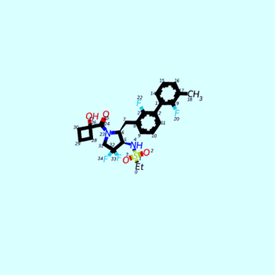 CCS(=O)(=O)N[C@@H]1[C@H](Cc2cccc(-c3cccc(C)c3F)c2F)N(C(=O)C2(O)CCC2)CC1(F)F